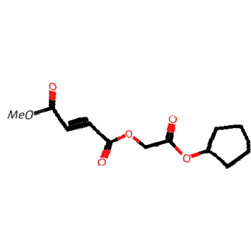 COC(=O)/C=C/C(=O)OCC(=O)OC1CCCC1